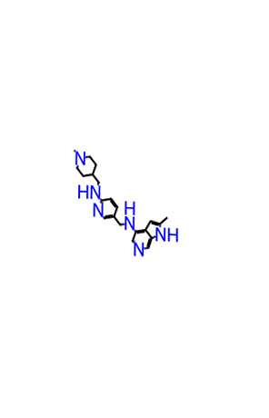 Cc1cc2c(NCc3ccc(NCC4CCN(C)CC4)nc3)cncc2[nH]1